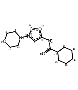 O=C([N-]c1c[n+](N2CCOCC2)no1)C1CCCCC1